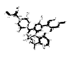 C=C/C=C(C)\C(=C/C)c1nc2c(cc1Cl)C(N1C[C@@H](C)N(C(=O)C=C)C[C@@H]1C)=NS(=O)(=O)N2c1c(C)ccnc1C(C)C